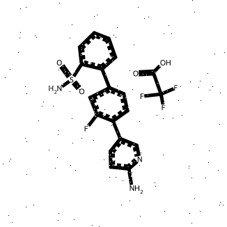 Nc1ccc(-c2ccc(-c3ccccc3S(N)(=O)=O)cc2F)cn1.O=C(O)C(F)(F)F